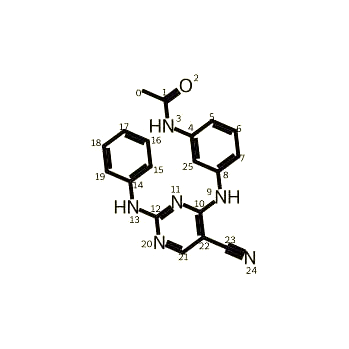 CC(=O)Nc1cccc(Nc2nc(Nc3ccccc3)ncc2C#N)c1